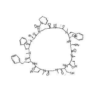 CC(C)C[C@H]1C(=O)N[C@@H](CCCc2ccccc2)C(=O)N(C)[C@@H](Cc2ccccc2)C(=O)N(C)[C@@H](C(C)C)C(=O)N[C@H](C(=O)N2CCCCC2)CC(=O)N[C@H](C)C(=O)N(C)[C@@H](Cc2ccccc2)C(O)N[C@@H](C(C)C)C(=O)N(C)[C@@H](CC(C)C)C(=O)N[C@@H]([C@@H](C)O)C(=O)N(C)CC(=O)N1C